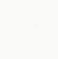 C[C]1CCCC(C)C1C(C)C